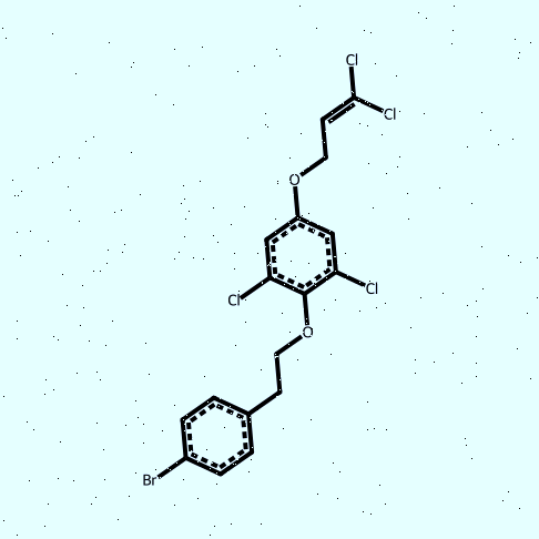 ClC(Cl)=CCOc1cc(Cl)c(OCCc2ccc(Br)cc2)c(Cl)c1